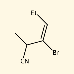 CC/C=C(/Br)C(C)C#N